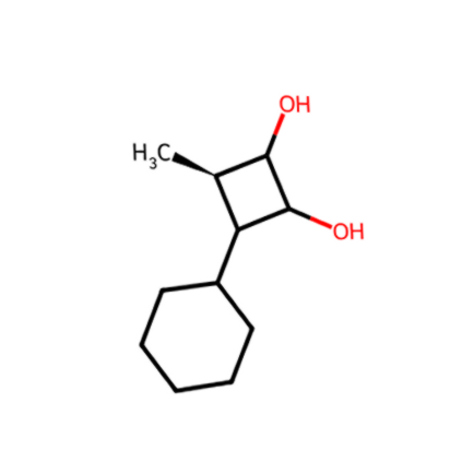 C[C@H]1C(O)C(O)C1C1CCCCC1